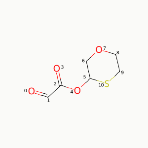 O=CC(=O)OC1COCCS1